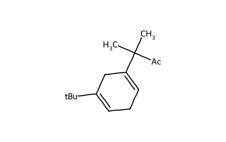 CC(=O)C(C)(C)C1=CCC=C(C(C)(C)C)C1